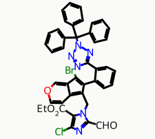 CCOC(=O)c1c(Cl)nc(C=O)n1Cc1c2ccocc-2c(Br)c1-c1ccccc1-c1nnn(C(c2ccccc2)(c2ccccc2)c2ccccc2)n1